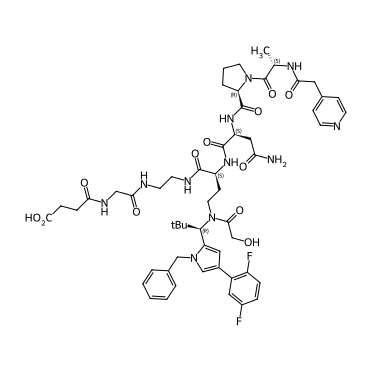 C[C@H](NC(=O)Cc1ccncc1)C(=O)N1CCC[C@@H]1C(=O)N[C@@H](CC(N)=O)C(=O)N[C@@H](CCN(C(=O)CO)[C@@H](c1cc(-c2cc(F)ccc2F)cn1Cc1ccccc1)C(C)(C)C)C(=O)NCCNC(=O)CNC(=O)CCC(=O)O